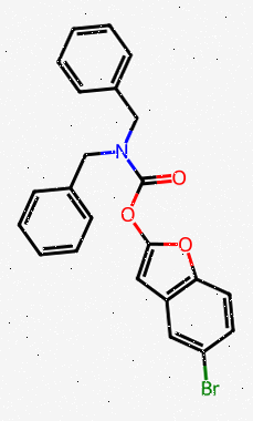 O=C(Oc1cc2cc(Br)ccc2o1)N(Cc1ccccc1)Cc1ccccc1